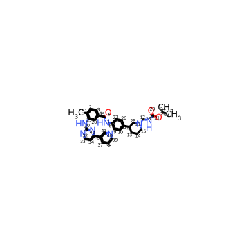 Cc1ccc(C(=O)Nc2ccc(C3CCCN(CNC(=O)OC(C)C)C3)cc2)cc1Nc1nccc(-c2cccnc2)n1